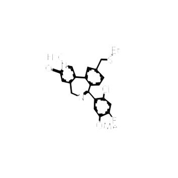 CCSCc1ccc2c(c1)-c1cn(C)c(=O)cc1CN=C2c1cc(OC)c(F)cc1Cl